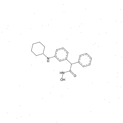 O=C(NO)C(c1ccccc1)c1cccc(NC2CCCCC2)c1